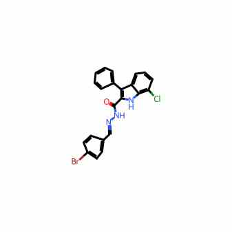 O=C(NN=Cc1ccc(Br)cc1)c1[nH]c2c(Cl)cccc2c1-c1ccccc1